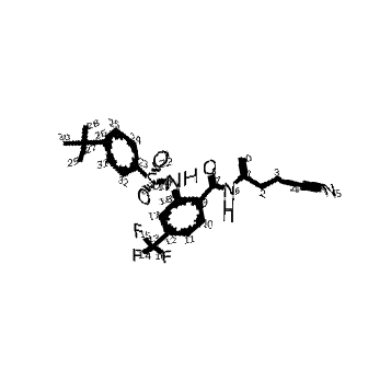 C=C(CCC#N)NC(=O)c1ccc(C(F)(F)F)cc1NS(=O)(=O)c1ccc(C(C)(C)C)cc1